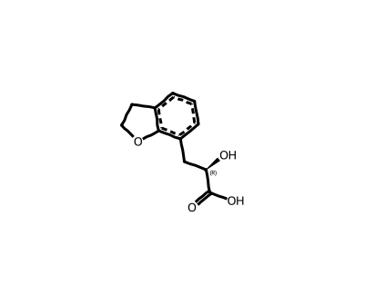 O=C(O)[C@H](O)Cc1cccc2c1OCC2